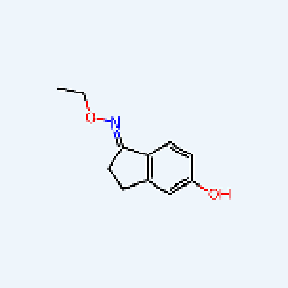 CCON=C1CCc2cc(O)ccc21